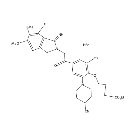 Br.CCOC(=O)CCCOc1c(N2CCC(C#N)CC2)cc(C(=O)CN2Cc3cc(OC)c(OC)c(F)c3C2=N)cc1C(C)(C)C